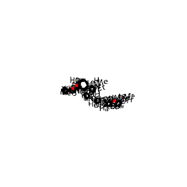 CCN[C@H]1CO[C@@H](O[C@H]2[C@H](O[C@H]3C#CC=CC#C[C@]4(O)CC(=O)C(NC(=O)OC)=C3/C4=C\CSSC(C)(C)c3ccccc3)O[C@H](C)[C@@H](NO[C@H]3C[C@H](O)[C@H]([SH]=C(O)c4c(C)c(I)c(O[C@@H]5O[C@@H](C)[C@H](O)[C@@H](OC)[C@H]5O)c(OC)c4OC)[C@@H](C)O3)[C@@H]2O)C[C@@H]1OC